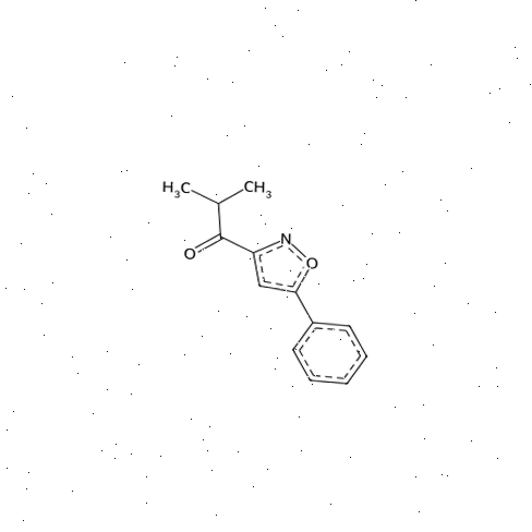 CC(C)C(=O)c1cc(-c2ccccc2)on1